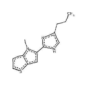 Cn1c(-c2nc(CCC(F)(F)F)c[nH]2)cc2sccc21